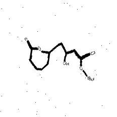 CC(C)(C)OC(=O)CC(O)CC1CCCC(=O)O1